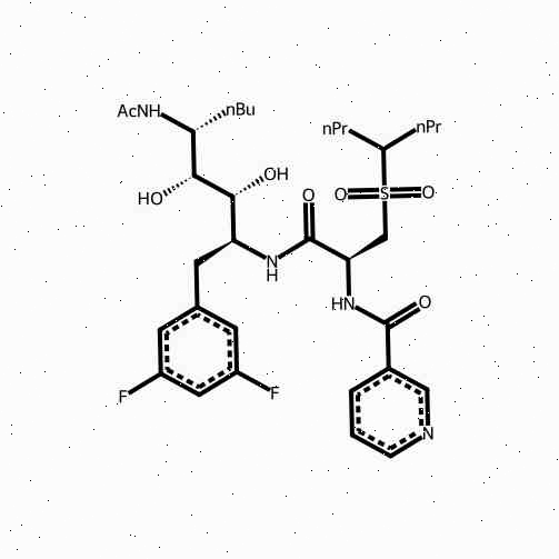 CCCC[C@@H](NC(C)=O)[C@@H](O)[C@H](O)[C@H](Cc1cc(F)cc(F)c1)NC(=O)[C@@H](CS(=O)(=O)C(CCC)CCC)NC(=O)c1cccnc1